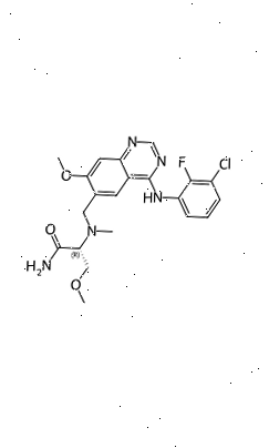 COC[C@H](C(N)=O)N(C)Cc1cc2c(Nc3cccc(Cl)c3F)ncnc2cc1OC